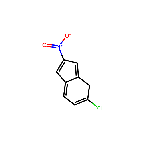 O=[N+]([O-])C1=CC2=CC=C(Cl)CC2=C1